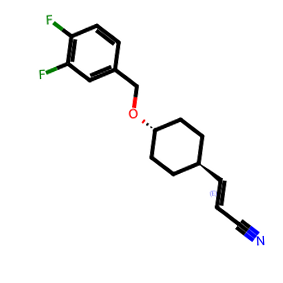 N#C/C=C/[C@H]1CC[C@H](OCc2ccc(F)c(F)c2)CC1